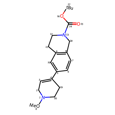 CON1CC=C(c2ccc3c(c2)CCN(C(=O)OC(C)(C)C)C3)CC1